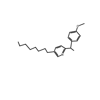 CCCCCCCCc1ccc(C(C)c2ccc(OC)cc2)nc1